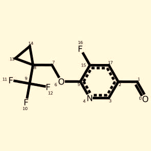 O=Cc1cnc(OCC2(C(F)(F)F)CC2)c(F)c1